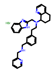 Br.c1ccc(CNCc2cccc(CCN(Cc3nc4ccccc4[nH]3)C3CCCc4cccnc43)c2)nc1